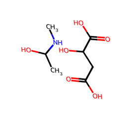 CNC(C)O.O=C(O)CC(O)C(=O)O